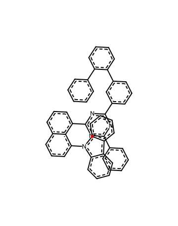 c1ccc(-c2nc(-c3cccc(-c4ccccc4-c4ccccc4)c3)nc(-c3cccc4cccc(-n5c6ccccc6c6ccccc65)c34)n2)cc1